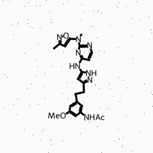 COc1cc(CCc2cc(Nc3ccnc(N(C)c4cc(C)no4)n3)[nH]n2)cc(NC(C)=O)c1